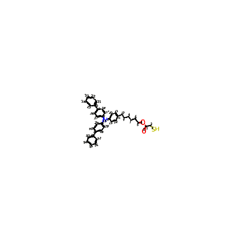 O=C(CS)OCCCCCCc1ccc(N(c2ccc(-c3ccccc3)cc2)c2ccc(-c3ccccc3)cc2)cc1